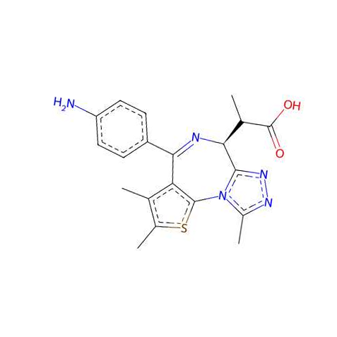 Cc1sc2c(c1C)C(c1ccc(N)cc1)=N[C@@H](C(C)C(=O)O)c1nnc(C)n1-2